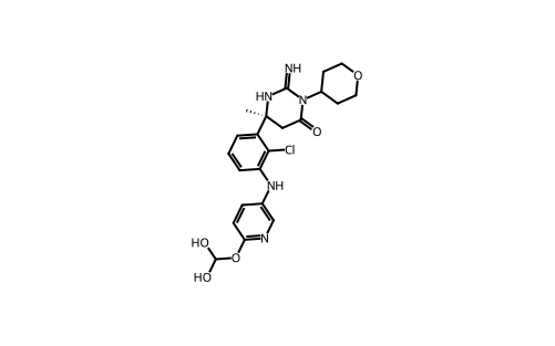 C[C@@]1(c2cccc(Nc3ccc(OC(O)O)nc3)c2Cl)CC(=O)N(C2CCOCC2)C(=N)N1